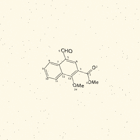 COC(=O)c1cc(C=O)c2ccccc2c1OC